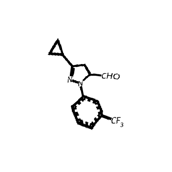 O=CC1CC(C2CC2)=NN1c1cccc(C(F)(F)F)c1